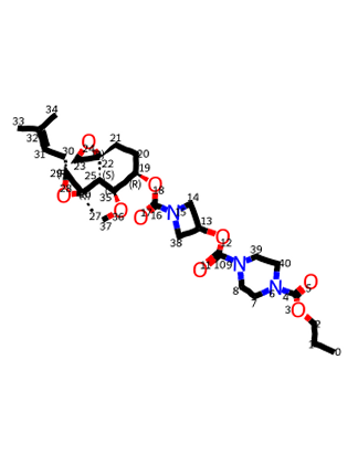 CCCOC(=O)N1CCN(C(=O)OC2CN(C(=O)O[C@@H]3CC[C@]4(CO4)[C@@H]([C@@]4(C)O[C@@H]4CC=C(C)C)[C@@H]3OC)C2)CC1